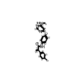 CNc1cc(Oc2ccc(NC(=O)C(C)c3ccc(C)cc3)cc2)ncn1